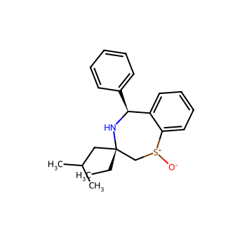 CC[C@]1(CC(C)C)C[S+]([O-])c2ccccc2[C@H](c2ccccc2)N1